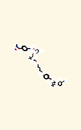 Cc1ncoc1-c1ccc(CNC(=O)[C@@H]2C[C@@H](O)CN2C(=O)[C@@H](NC(=O)COCCCCCNc2ccc(C(=O)NC3C(C)(C)C(Oc4ccc(C#N)c(Cl)c4)C3(C)C)cc2)C(C)(C)C)cc1